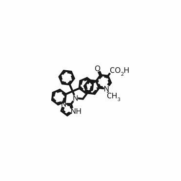 Cn1cc(C(=O)O)c(=O)c2ccc(CN(c3ncc[nH]3)C(c3ccccc3)(c3ccccc3)c3ccccc3)cc21